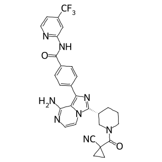 N#CC1(C(=O)N2CCC[C@@H](c3nc(-c4ccc(C(=O)Nc5cc(C(F)(F)F)ccn5)cc4)c4c(N)nccn34)C2)CC1